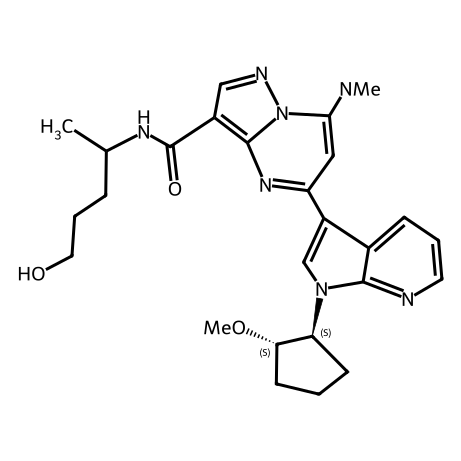 CNc1cc(-c2cn([C@H]3CCC[C@@H]3OC)c3ncccc23)nc2c(C(=O)NC(C)CCCO)cnn12